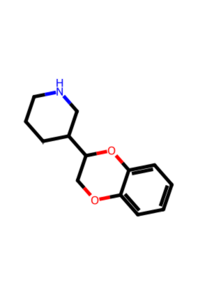 [CH]1CCNC[C]1C1COc2ccccc2O1